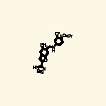 CC(C)Oc1ccc(NCc2cc3oc(-c4nnn[nH]4)cc3cc2P)cc1C(F)(F)F